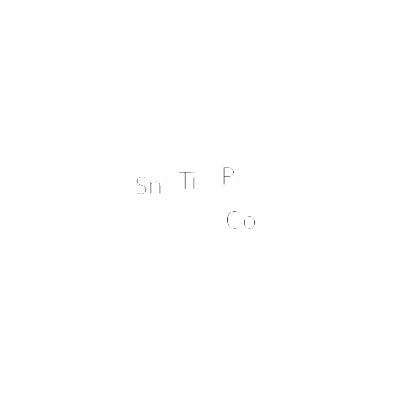 [Co].[P].[Sn].[Ti]